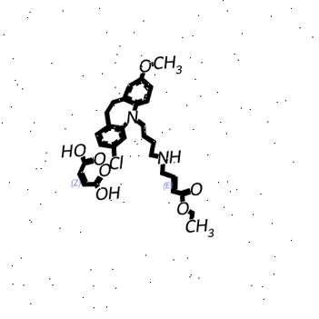 CCOC(=O)/C=C/CNCCCCN1c2ccc(OC)cc2CCc2ccc(Cl)cc21.O=C(O)/C=C\C(=O)O